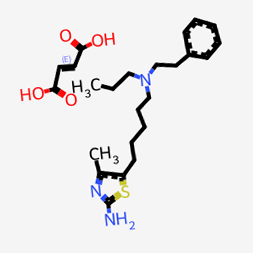 CCCN(CCCCCc1sc(N)nc1C)CCc1ccccc1.O=C(O)/C=C/C(=O)O